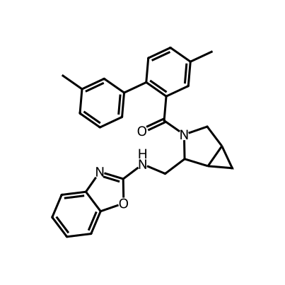 Cc1cccc(-c2ccc(C)cc2C(=O)N2CC3CC3C2CNc2nc3ccccc3o2)c1